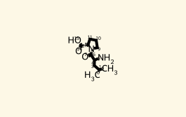 CC(C)CC(N)C(=O)N1CCC[C@H]1C(=O)O